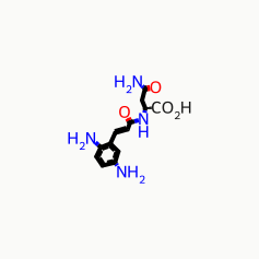 NC(=O)C[C@H](NC(=O)/C=C/c1cc(N)ccc1N)C(=O)O